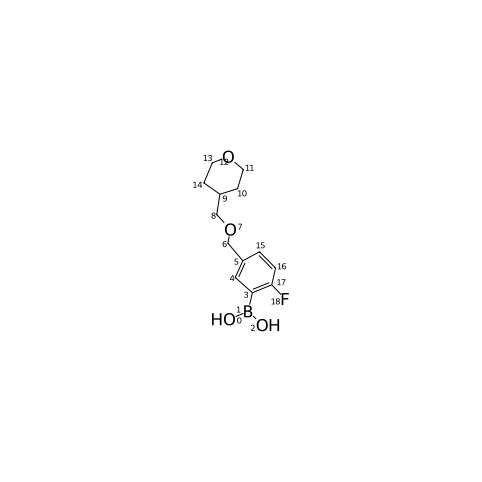 OB(O)c1cc(COCC2CCOCC2)ccc1F